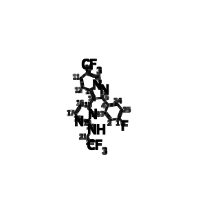 Fc1ccc(-c2nn3cc(C(F)(F)F)ccc3c2-c2ccnc(NCC(F)(F)F)n2)cc1